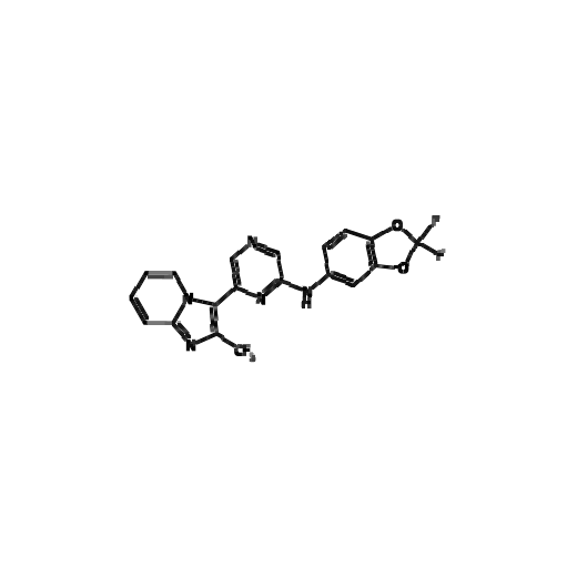 FC1(F)Oc2ccc(Nc3cncc(-c4c(C(F)(F)F)nc5ccccn45)n3)cc2O1